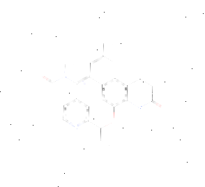 CC(C)=C/C(=C\N(C)C=O)c1cc2c(c(OC(C)c3ccccn3)c1)NC(=O)CC2